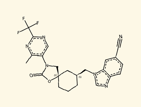 Cc1nc(C(F)(F)F)ncc1N1C[C@@]2(CCC[C@H](Cn3cnc4ccc(C#N)cc43)C2)OC1=O